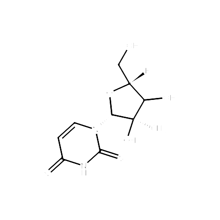 C[C@@]1(O)C(O)[C@@](F)(CO)O[C@H]1n1ccc(=S)[nH]c1=S